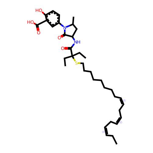 CC/C=C\C/C=C\C/C=C\CCCCCCCCSC(CC)(CC)C(=O)NC1CC(C)N(c2ccc(O)c(C(=O)O)c2)C1=O